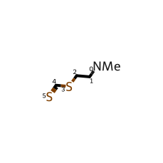 CNCCSC=S